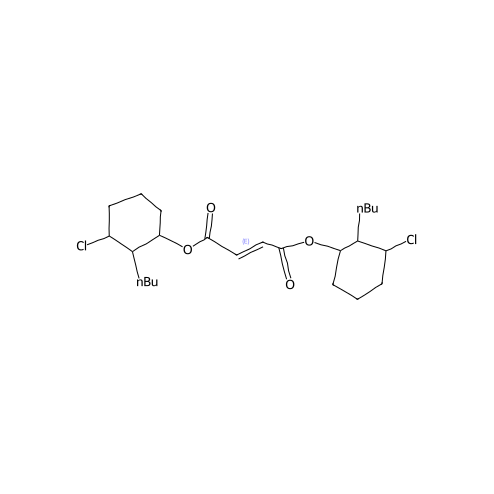 CCCCC1C(Cl)CCCC1OC(=O)/C=C/C(=O)OC1CCCC(Cl)C1CCCC